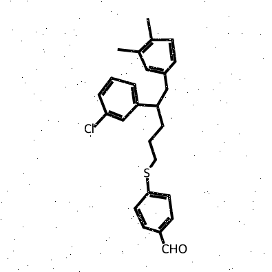 Cc1ccc(CC(CCCSc2ccc(C=O)cc2)c2cccc(Cl)c2)cc1C